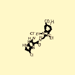 CCn1c(CNC(=O)c2nc3c(Cl)c[nH]c3nc2N)[n+](CC)c2ccc(C(=O)O)cc21.[Cl-]